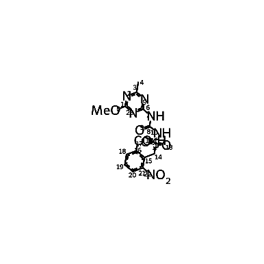 COc1nc(C)nc(NC(=O)NS(=O)(=O)Cc2c(C(=O)O)cccc2[N+](=O)[O-])n1